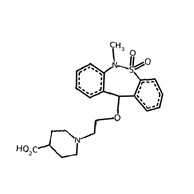 CN1c2ccccc2C(OCCN2CCC(C(=O)O)CC2)c2ccccc2S1(=O)=O